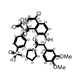 COC(=O)Nc1ccc(S(=O)(=O)I)c([C@H]2CCCN2C(=O)[C@H](Nc2ccc3c(Cl)c[nH]c(=O)c3c2)c2ccc(OC)c(OC)c2)c1